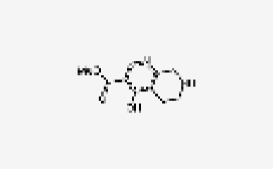 COC(=O)c1cnc2c(c1O)CCNC2